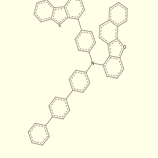 c1ccc(-c2ccc(-c3ccc(N(c4ccc(-c5cccc6c5sc5ccccc56)cc4)c4cccc5oc6c7ccccc7ccc6c45)cc3)cc2)cc1